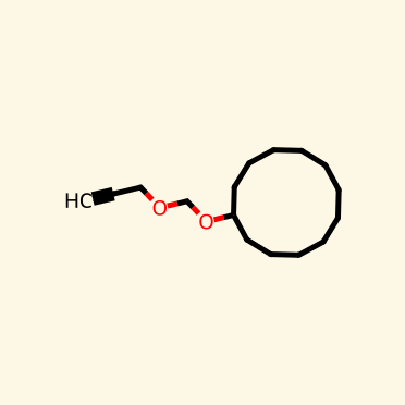 C#CCOCOC1CCCCCCCCCCC1